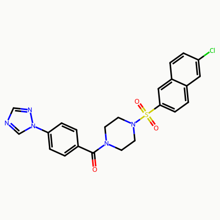 O=C(c1ccc(-n2cncn2)cc1)N1CCN(S(=O)(=O)c2ccc3cc(Cl)ccc3c2)CC1